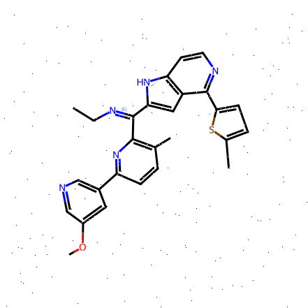 CC/N=C(/c1cc2c(-c3ccc(C)s3)nccc2[nH]1)c1nc(-c2cncc(OC)c2)ccc1C